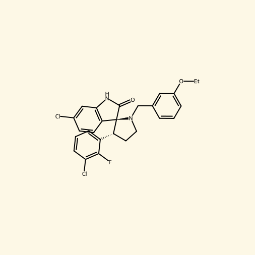 CCOc1cccc(CN2CC[C@H](c3cccc(Cl)c3F)[C@]23C(=O)Nc2cc(Cl)ccc23)c1